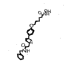 O=C(CCCCCOc1ccc(-c2ccc(CC(=O)NCc3ccccc3)nc2)cc1)NO